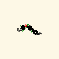 CCCC1CCC(C(F)Cc2ccc(C(F)(F)Oc3cc(F)c(C(F)(F)F)c(F)c3)cc2)CC1